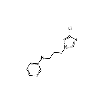 Clc1cn(CCC[N]c2ccccc2)cn1